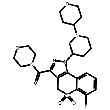 O=C(c1nn(C2CCCN(C3CCOCC3)C2)c2c1CS(=O)(=O)c1c(F)cccc1-2)N1CCOCC1